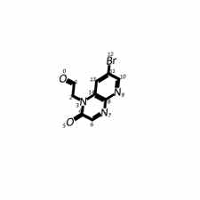 O=CCn1c(=O)cnc2ncc(Br)cc21